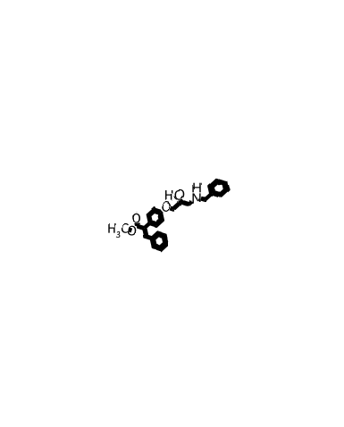 COC(=O)/C(=C/c1ccccc1)c1ccc(OCC(O)CNCc2ccccc2)cc1